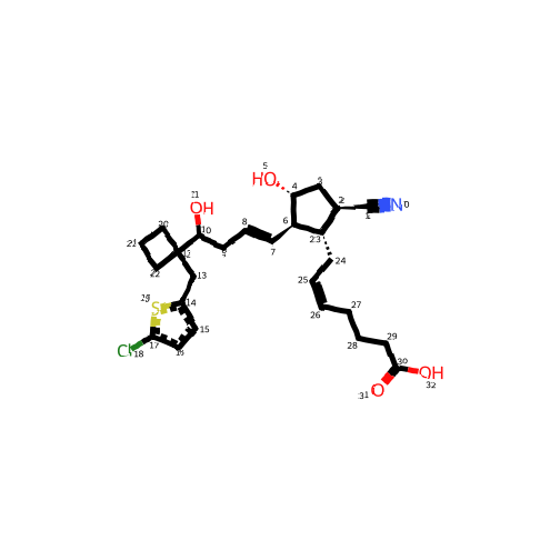 N#C[C@@H]1C[C@@H](O)[C@H](/C=C/CC(O)C2(Cc3ccc(Cl)s3)CCC2)[C@H]1C/C=C\CCCC(=O)O